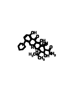 CN(C)C1C(O)C(C(N)=O)C(=O)[C@@]2(O)C(O)=C3C(=O)c4c(O)ccc(N5CCCCC5)c4C[C@H]3C[C@@H]12